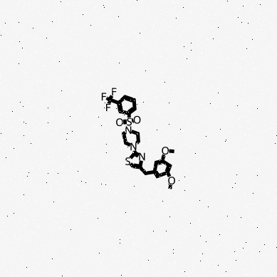 COc1cc(Cc2csc(N3CCN(S(=O)(=O)c4cccc(C(F)(F)F)c4)CC3)n2)cc(OC)c1